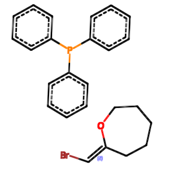 Br/C=C1/CCCCCO1.c1ccc(P(c2ccccc2)c2ccccc2)cc1